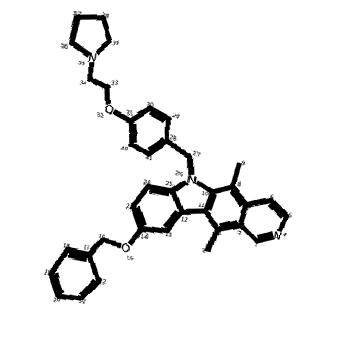 Cc1c2cnccc2c(C)c2c1c1cc(OCc3ccccc3)ccc1n2Cc1ccc(OCCN2CCCC2)cc1